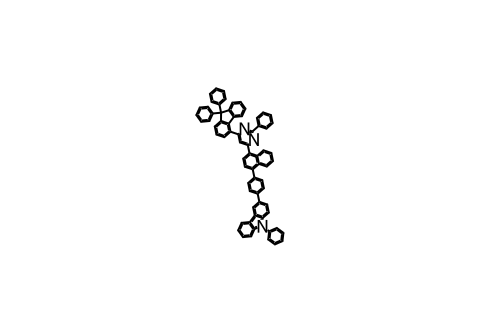 c1ccc(-c2nc(-c3cccc4c3-c3ccccc3C4(c3ccccc3)c3ccccc3)cc(-c3ccc(-c4ccc(-c5ccc6c(c5)c5ccccc5n6-c5ccccc5)cc4)c4ccccc34)n2)cc1